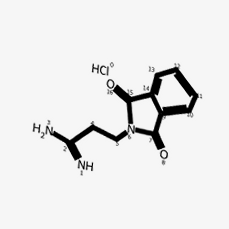 Cl.N=C(N)CCN1C(=O)c2ccccc2C1=O